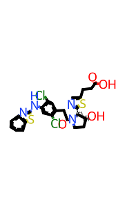 O=C(O)CCc1cnc([C@@H]2[C@@H](O)CCN2C(=O)Cc2cc(Cl)c(Nc3nc4ccccc4s3)cc2Cl)s1